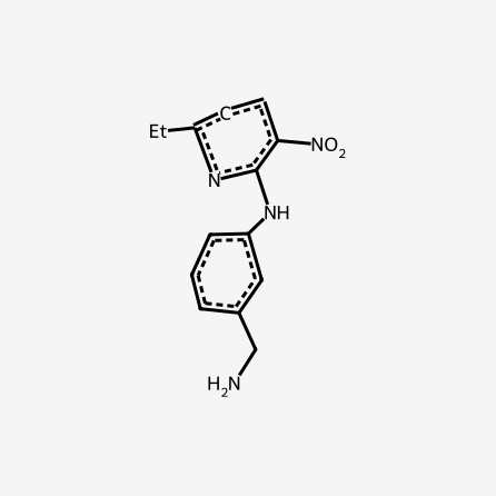 CCc1ccc([N+](=O)[O-])c(Nc2cccc(CN)c2)n1